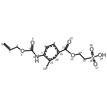 C=CCOC(=O)Nc1ccc(C(=O)OCCS(=O)(=O)O)cc1I